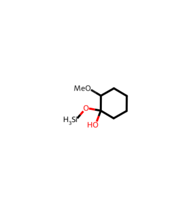 COC1CCCCC1(O)O[SiH3]